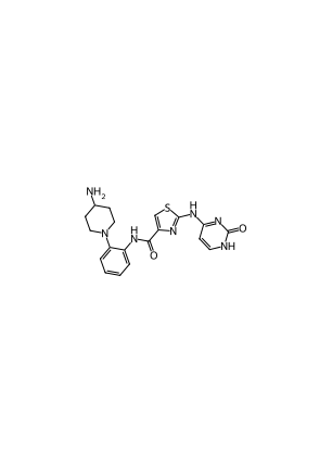 NC1CCN(c2ccccc2NC(=O)c2csc(Nc3cc[nH]c(=O)n3)n2)CC1